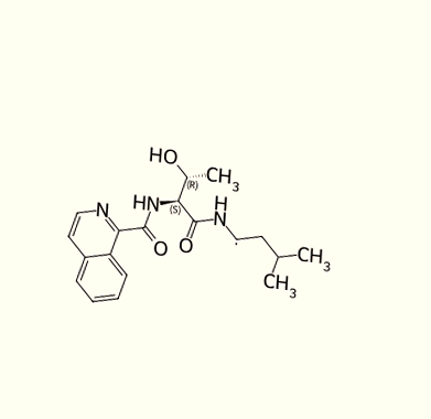 CC(C)C[CH]NC(=O)[C@@H](NC(=O)c1nccc2ccccc12)[C@@H](C)O